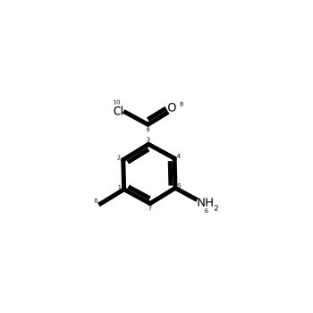 Cc1cccc(N)c1.O=CCl